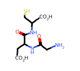 NCC(=O)NC(CC(=O)O)C(=O)NC(CS)C(=O)O